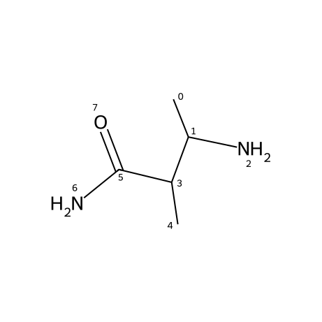 CC(N)C(C)C(N)=O